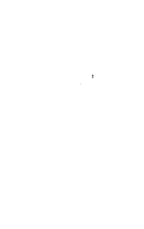 O=C(O)c1cc(Cl)c(O[C@@H]2C[C@@H]3C[C@@H]3C2)cc1F